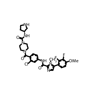 COc1ccc(-c2cnc(C(=O)Nc3ccc(C(=O)N4CCN(C(=O)N[C@H]5CCNC5)CC4)c(Cl)c3)n2C)c(F)c1F